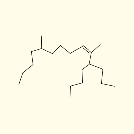 CCCCC(C)CCCC=C(C)C(CCC)CCCC